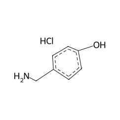 Cl.NCc1ccc(O)cc1